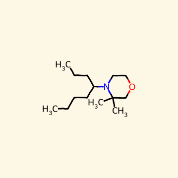 CCCCC(CCC)N1CCOCC1(C)C